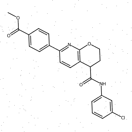 COC(=O)c1ccc(-c2ccc3c(n2)OCCC3C(=O)Nc2cccc(Cl)c2)cc1